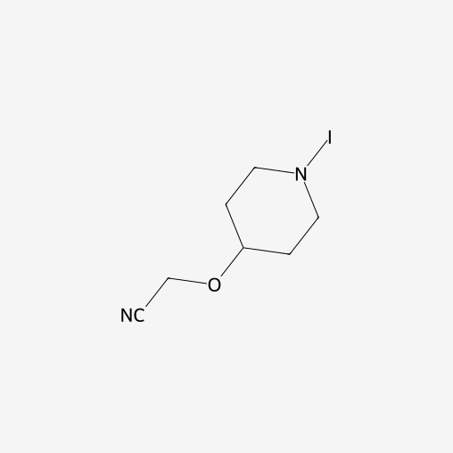 N#CCOC1CCN(I)CC1